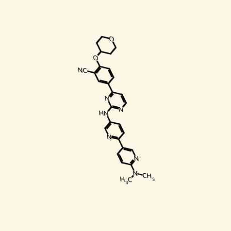 CN(C)c1ccc(-c2ccc(Nc3nccc(-c4ccc(OC5CCOCC5)c(C#N)c4)n3)cn2)cn1